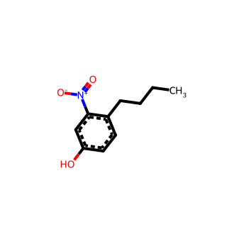 CCCCc1ccc(O)cc1[N+](=O)[O-]